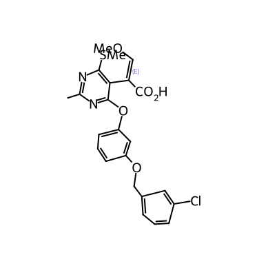 CO/C=C(/C(=O)O)c1c(Oc2cccc(OCc3cccc(Cl)c3)c2)nc(C)nc1SC